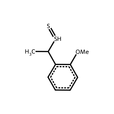 COc1ccccc1C(C)[SH]=S